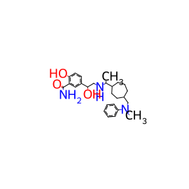 CC(NCC(O)c1ccc(O)c(C(N)=O)c1)C1CCCC(CN(C)c2ccccc2)CC1